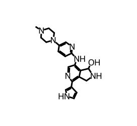 CN1CCN(c2ccc(Nc3cnc(-c4cc[nH]c4)c4c3C(O)NC4)nc2)CC1